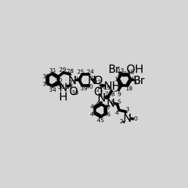 CN(C)CCCn1c([C@@H](Cc2cc(Br)c(O)c(Br)c2)NC(=O)ON2CCC(N3CCc4ccccc4NC3=O)CC2)nc2ccccc21